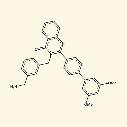 COc1cc(OC)cc(-c2ccc(-c3nc4ccccc4c(=O)n3Cc3cccc(CN)c3)cc2)c1